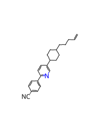 C=CCCCC1CCC(c2ccc(-c3ccc(C#N)cc3)nc2)CC1